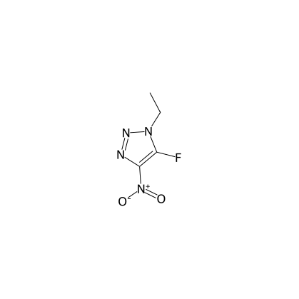 CCn1nnc([N+](=O)[O-])c1F